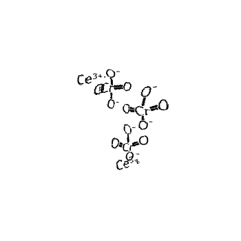 [Ce+3].[Ce+3].[O]=[Cr](=[O])([O-])[O-].[O]=[Cr](=[O])([O-])[O-].[O]=[Cr](=[O])([O-])[O-]